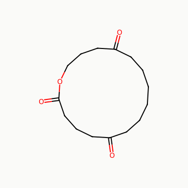 O=C1CCCCCCC(=O)CCCC(=O)OCCC1